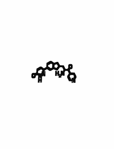 NC(CC1Cc2ccc(-c3ccc(=O)[nH]n3)cc2C1)C(=O)c1ccncc1